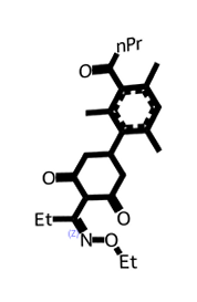 CCCC(=O)c1c(C)cc(C)c(C2CC(=O)C(/C(CC)=N\OCC)C(=O)C2)c1C